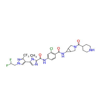 Cn1c(-c2cn(CC(F)F)nc2C(F)(F)F)cnc1C(=O)Nc1ccc(C(=O)NC2C3CN(C(=O)C4CCNCC4)CC32)c(Cl)c1